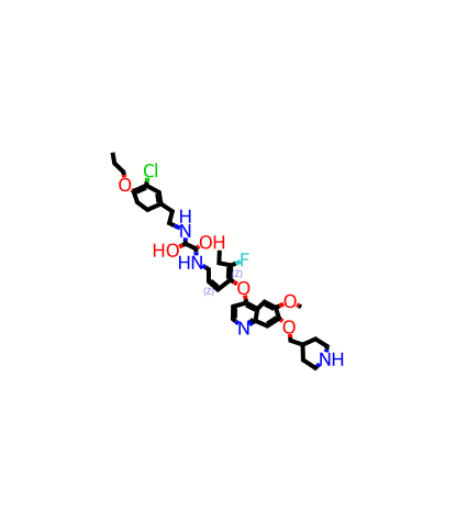 CCCOC1=C(Cl)C=C(CCNC(O)C(O)NC/C=C\C(Oc2ccnc3cc(OCC4CCNCC4)c(OC)cc23)=C(\F)CC)CC1